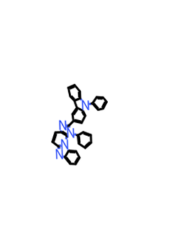 c1ccc(-n2c(-c3ccc4c(c3)c3ccccc3n4-c3ccccc3)nc3ccc4nc5ccccc5n4c32)cc1